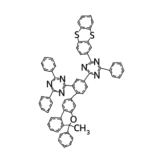 CC1(c2ccccc2)Oc2cc(-c3ccc(-c4nc(-c5ccccc5)nc(-c5ccc6c(c5)Sc5ccccc5S6)n4)cc3-c3nc(-c4ccccc4)nc(-c4ccccc4)n3)ccc2-c2ccccc21